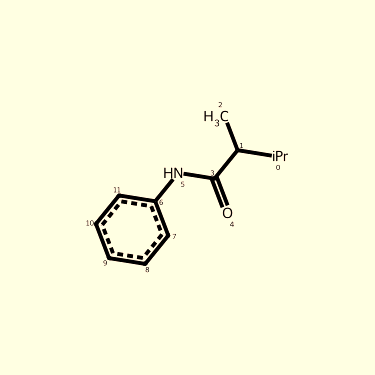 CC(C)C(C)C(=O)Nc1ccccc1